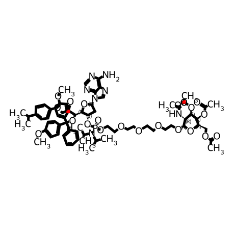 COc1ccc(C(OC(C(=O)COc2ccc(C(C)C)cc2)[C@H]2O[C@@H](n3cnc4c(N)ncnc43)C[C@@H]2OP(=O)(OCCOCCOCCOCCO[C@@H]2O[C@H](COC(C)=O)[C@H](OC(C)=O)[C@H](OC(C)=O)[C@H]2NC(C)=O)N(C(C)C)C(C)C)(c2ccccc2)c2ccc(OC)cc2)cc1